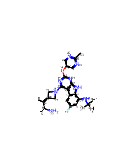 [2H]C([2H])([2H])Nc1cc(F)cc2c1[nH]c1nc(Oc3cnc(C)nc3)nc(N3CC(=C(C)[C@H](C)N)C3)c12